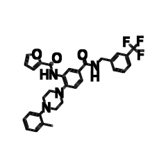 Cc1ccccc1N1CCN(c2ccc(C(=O)NCc3cccc(C(F)(F)F)c3)cc2NC(=O)c2ccco2)CC1